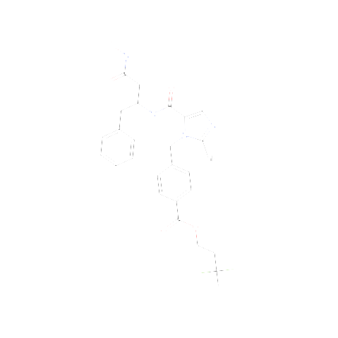 CCCCc1ncc(C(=O)NC(CC(=O)NO)Cc2ccccc2)n1Cc1ccc(C(=O)OCCC(F)(F)C(F)(F)F)cc1